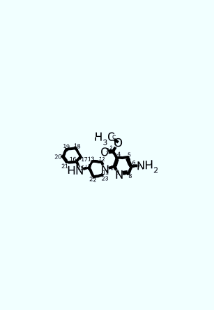 COC(=O)c1cc(N)cnc1N1CCC(NC2CCCCC2)CC1